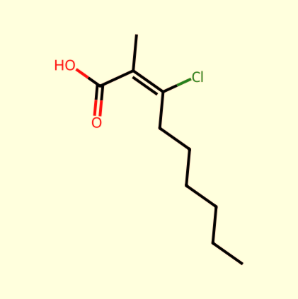 CCCCCC/C(Cl)=C(/C)C(=O)O